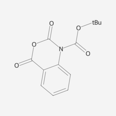 CC(C)(C)OC(=O)n1c(=O)oc(=O)c2ccccc21